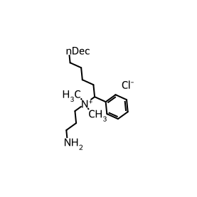 CCCCCCCCCCCCCCC(c1ccccc1)[N+](C)(C)CCCN.[Cl-]